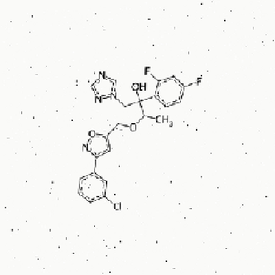 CC(OCc1cc(-c2cccc(Cl)c2)no1)C(O)(Cn1cncn1)c1ccc(F)cc1F